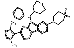 Cc1nnn(C)c1-c1ccc2c3ncc(N4CCS(=O)(=O)CC4)cc3n([C@H](c3ccccc3)C3CCOCC3)c2n1